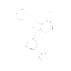 COc1cccc2c(-c3cncc(-c4ccsc4)c3)cn(CC3CCCN(C)C3)c12